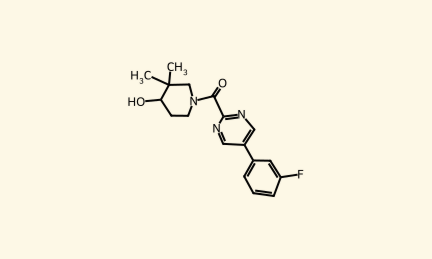 CC1(C)CN(C(=O)c2ncc(-c3cccc(F)c3)cn2)CCC1O